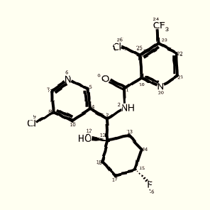 O=C(NC(c1cncc(Cl)c1)[C@]1(O)CC[C@H](F)CC1)c1nccc(C(F)(F)F)c1Cl